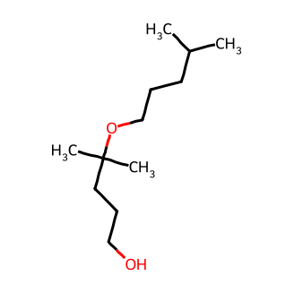 CC(C)CCCOC(C)(C)CCCO